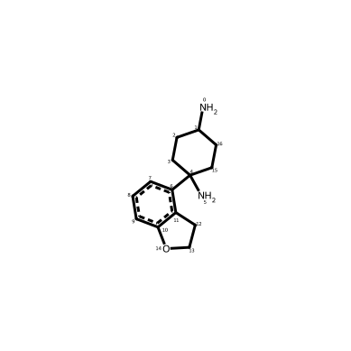 NC1CCC(N)(c2cccc3c2CCO3)CC1